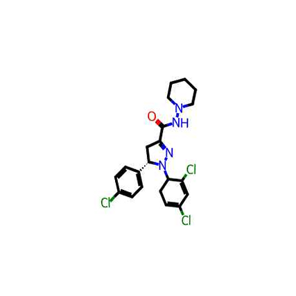 O=C(NN1CCCCC1)C1=NN(C2CC=C(Cl)C=C2Cl)[C@H](c2ccc(Cl)cc2)C1